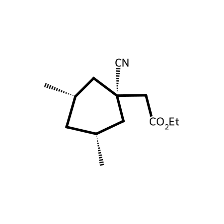 CCOC(=O)C[C@@]1(C#N)C[C@H](C)C[C@H](C)C1